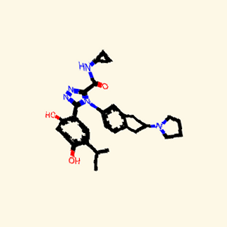 CC(C)c1cc(-c2nnc(C(=O)NC3CC3)n2-c2ccc3c(c2)CC(N2CCCC2)C3)c(O)cc1O